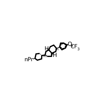 CCC[C@H]1CC[C@H]([C@@H]2CC[C@@H]3C[C@H](c4ccc(OC(F)(F)F)cc4)CC[C@@H]3C2)CC1